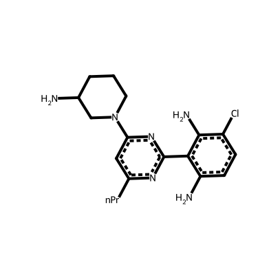 CCCc1cc(N2CCCC(N)C2)nc(-c2c(N)ccc(Cl)c2N)n1